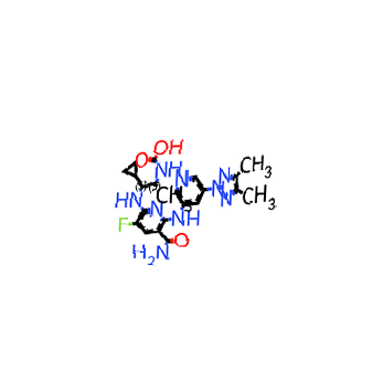 Cc1nn(-c2cncc(Nc3nc(N[C@@H](C4CC4)[C@H](C)NC(=O)O)c(F)cc3C(N)=O)c2)nc1C